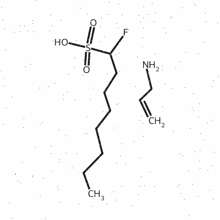 C=CCN.CCCCCCCC(F)S(=O)(=O)O